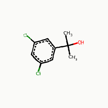 CC(C)(O)c1cc(Cl)cc(Cl)c1